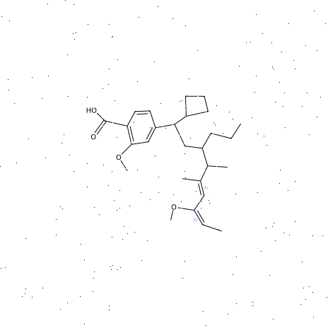 C/C=C(\C=C(/C)C(C)C(CCC)CC(c1ccc(C(=O)O)c(OC)c1)C1CCC1)OC